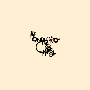 Cc1ccc2nc(O[C@@H]3C[C@H]4C(=O)N[C@]5(C(=O)NS(=O)(=O)C6(C)CC6)C[C@H]5/C=C\CCCCC[C@H](Nc5cccc(C(F)(F)F)c5)C(=O)N4C3)sc2c1